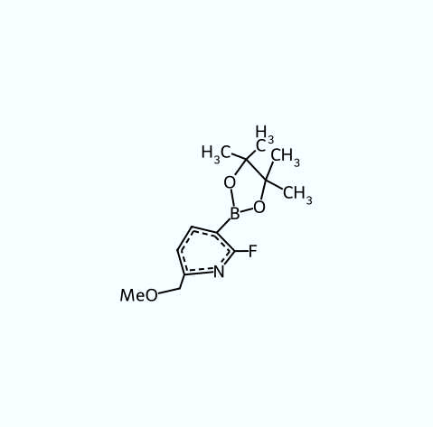 COCc1ccc(B2OC(C)(C)C(C)(C)O2)c(F)n1